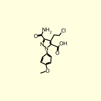 COc1ccc(-n2nc(C(N)=O)c(CCCl)c2C(=O)O)cc1